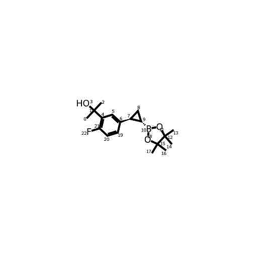 CC(C)(O)c1cc([C@H]2C[C@@H]2B2OC(C)(C)C(C)(C)O2)ccc1F